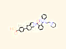 CC1(C)C(c2ccc(C(=O)O)cc2)=CC[C@]2(C)CN(C(=O)c3ccccc3-c3nc4ccccc4n3CCN3CCCCC3)CC=C12